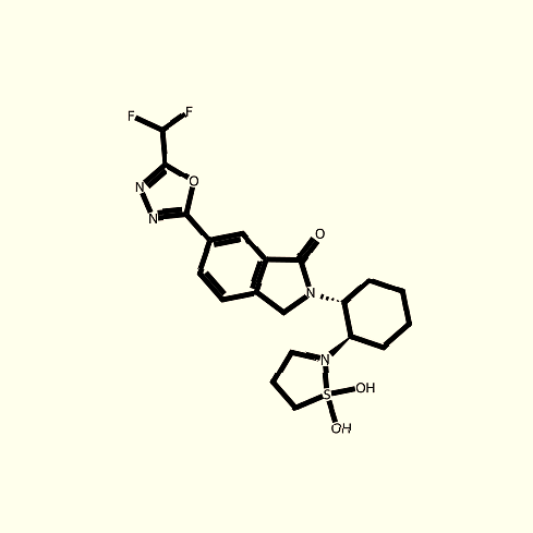 O=C1c2cc(-c3nnc(C(F)F)o3)ccc2CN1[C@@H]1CCCC[C@H]1N1CCCS1(O)O